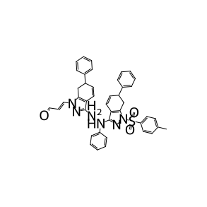 Cc1ccc(S(=O)(=O)n2nc(Nc3ccccc3)c3c2CC(c2ccccc2)C=C3)cc1.Nc1nn(C=CC=O)c2c1C=CC(c1ccccc1)C2